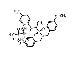 COc1ccc(CN(Cc2ccc(OC)cc2)S(=O)(=O)[C@H](C)C(O[Si](C)(C)C(C)(C)C)c2cnc(C)cn2)cc1